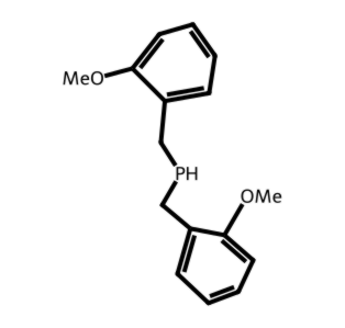 COc1ccccc1CPCc1ccccc1OC